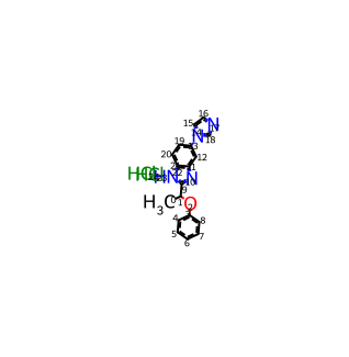 CC(Oc1ccccc1)c1nc2cc(-n3ccnc3)ccc2[nH]1.Cl.Cl